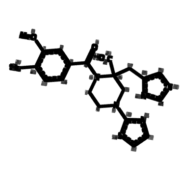 COc1cc(C(=O)N2CCN(c3nccs3)CC2(Cc2cscn2)C(=O)O)ccc1C(C)(C)C